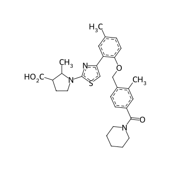 Cc1ccc(OCc2ccc(C(=O)N3CCCCC3)cc2C)c(-c2csc(N3CCC(C(=O)O)C3C)n2)c1